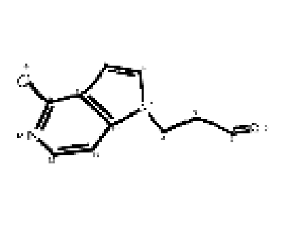 O=CCCn1ccc2c(Cl)nccc21